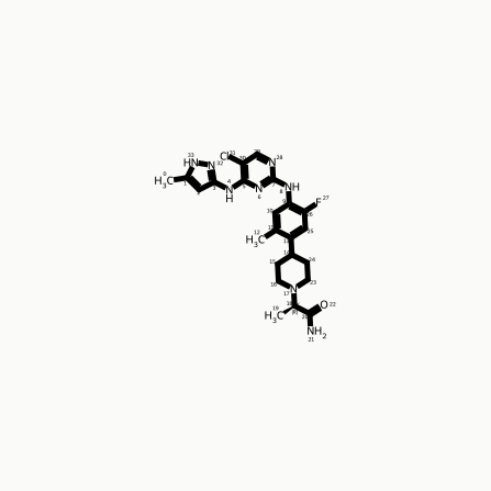 Cc1cc(Nc2nc(Nc3cc(C)c(C4CCN([C@H](C)C(N)=O)CC4)cc3F)ncc2Cl)n[nH]1